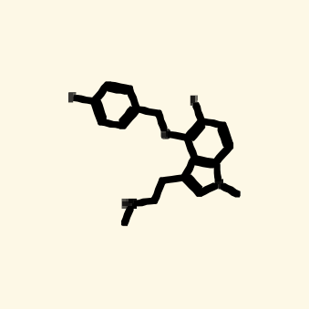 CNCCc1cn(C)c2ccc(F)c(OCc3ccc(F)cc3)c12